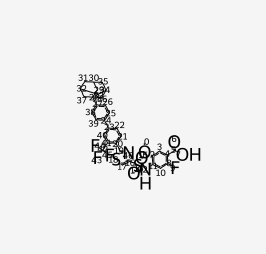 COc1cc(C(=O)O)c(F)cc1NS(=O)(=O)c1csc(-c2ccc(-c3ccc(C45CC6CC(CC(C6)C4)C5)cc3)cc2C(F)(F)F)n1